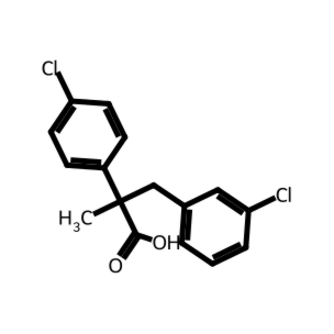 CC(Cc1cccc(Cl)c1)(C(=O)O)c1ccc(Cl)cc1